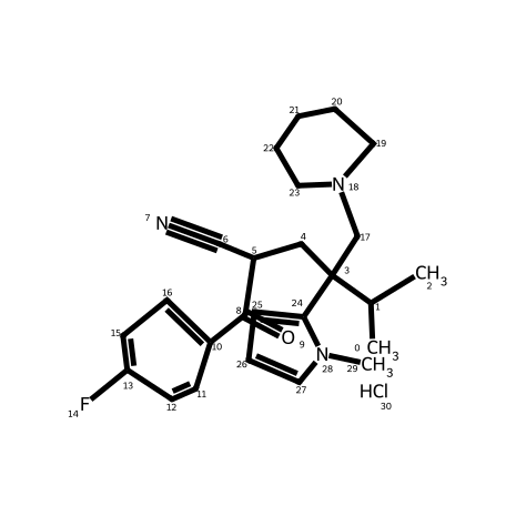 CC(C)C(CC(C#N)C(=O)c1ccc(F)cc1)(CN1CCCCC1)c1cccn1C.Cl